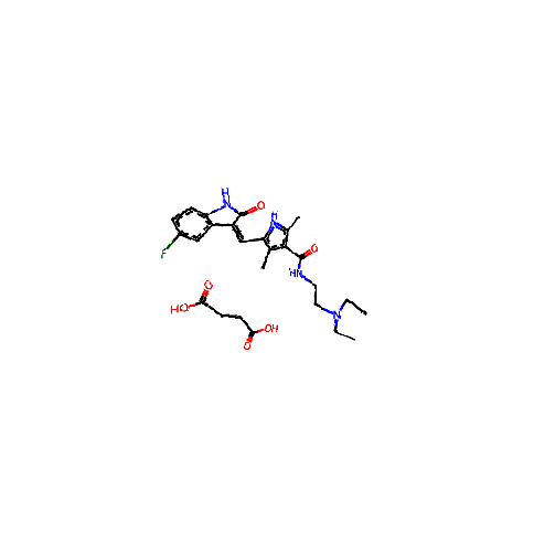 CCN(CC)CCNC(=O)c1c(C)[nH]c(C=C2C(=O)Nc3ccc(F)cc32)c1C.O=C(O)CCC(=O)O